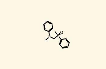 CP(CP(C)(=O)c1ccccc1)c1ccccc1